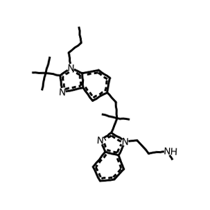 CCCn1c(C(C)(C)C)nc2cc(CC(C)(C)c3nc4ccccc4n3CCNC)ccc21